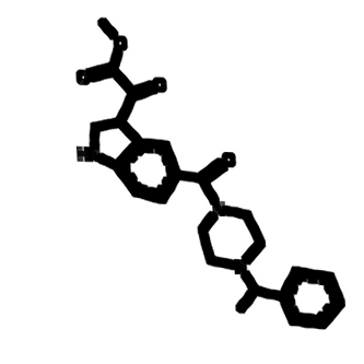 COC(=O)C(=O)C1CNc2ccc(C(=O)N3CCN(C(C)c4ccccc4)CC3)cc21